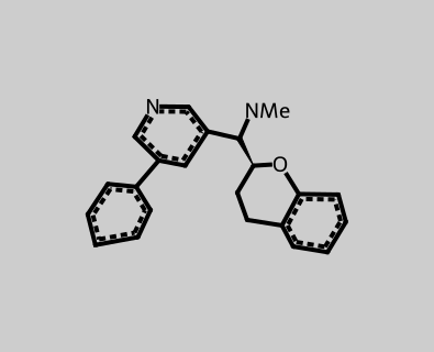 CNC(c1cncc(-c2ccccc2)c1)[C@@H]1CCc2ccccc2O1